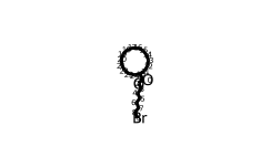 O=C(OCCCCCCBr)C1CCCCCCCCCCCCCC1